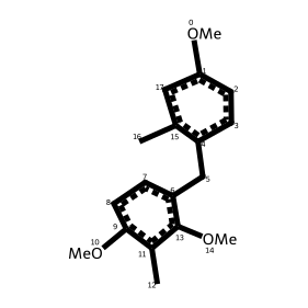 COc1ccc(Cc2ccc(OC)c(C)c2OC)c(C)c1